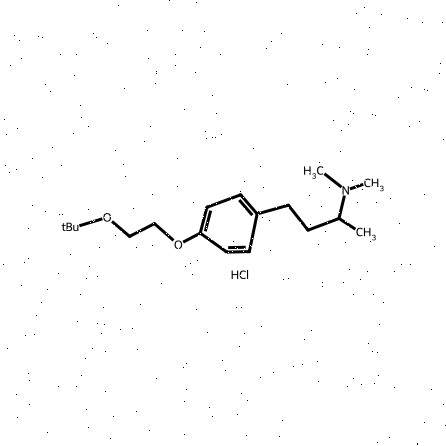 CC(CCc1ccc(OCCOC(C)(C)C)cc1)N(C)C.Cl